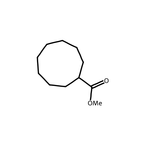 COC(=O)C1CCCCCCCC1